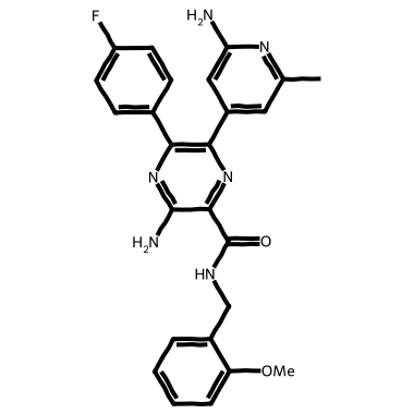 COc1ccccc1CNC(=O)c1nc(-c2cc(C)nc(N)c2)c(-c2ccc(F)cc2)nc1N